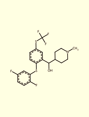 CN1CCC(C(O)c2cc(SC(F)(F)F)ccc2Sc2cc(F)ccc2F)CC1